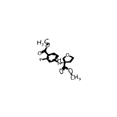 COC(=O)c1ccc(N[C@]2(C(=O)OC)CCOC2)cc1F